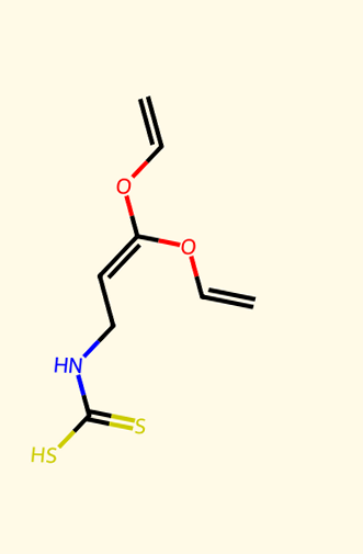 C=COC(=CCNC(=S)S)OC=C